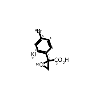 O=C(O)C1(c2ccc(Br)cc2)CO1.[KH]